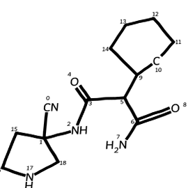 N#CC1(NC(=O)C(C(N)=O)C2CCCCC2)CCNC1